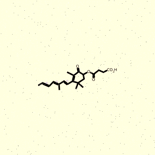 C/C=C/C=C(C)/C=C/C1=C(C)C(=O)C(OC(=O)CCC(=O)O)CC1(C)C